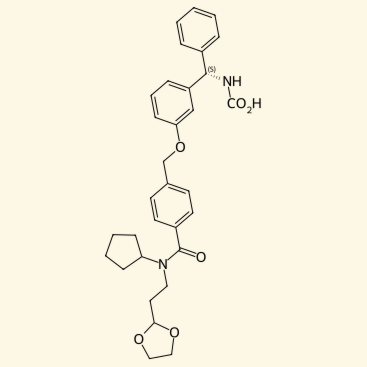 O=C(O)N[C@@H](c1ccccc1)c1cccc(OCc2ccc(C(=O)N(CCC3OCCO3)C3CCCC3)cc2)c1